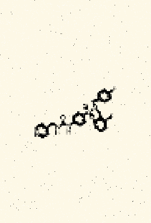 O=C(NCc1ccncc1)Nc1ccc(S(=O)(=O)N(Cc2ccc(F)cc2)Cc2ccccc2F)cc1